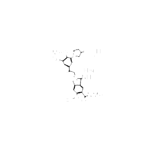 Br.CCOc1cc2c(cc1C(=O)NC)C(=N)N(CC(=O)c1cc(N3CCC(C(=O)O)C3)c(OC)c(C(C)(C)C)c1)C2